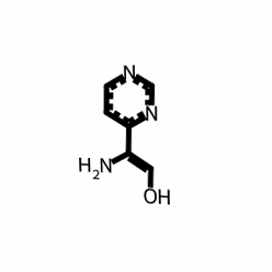 N/C(=C\O)c1ccncn1